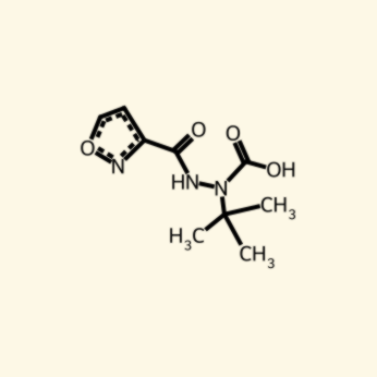 CC(C)(C)N(NC(=O)c1ccon1)C(=O)O